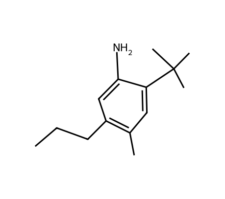 CCCc1cc(N)c(C(C)(C)C)cc1C